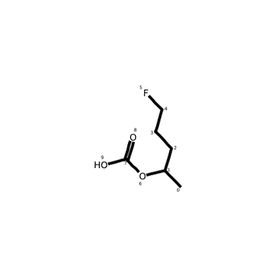 CC(CCCF)OC(=O)O